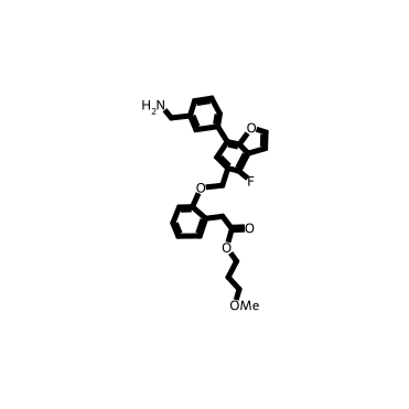 COCCCOC(=O)Cc1ccccc1OCc1cc(-c2cccc(CN)c2)c2occc2c1F